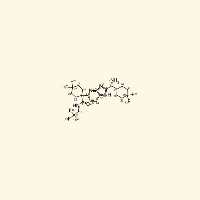 N[C@H](c1nc2nc(C3(C(=O)NCC(F)(F)F)CCC(F)(F)CC3)ccc2[nH]1)C1CCC(F)(F)CC1